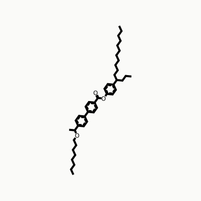 CCCCCCCCCCCC(CCC)c1ccc(OC(=O)c2ccc(-c3ccc(C(C)OCCCCCCCC)cc3)cc2)cc1